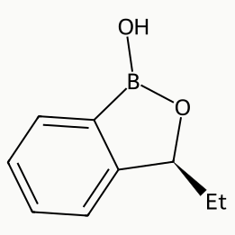 CC[C@@H]1OB(O)c2ccccc21